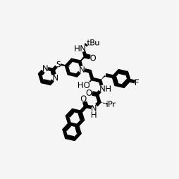 CC(C)[C@H](NC(=O)c1ccc2ccccc2c1)C(=O)N[C@@H](Cc1ccc(F)cc1)[C@H](O)CN1CC[C@@H](Sc2ncccn2)C[C@H]1C(=O)NC(C)(C)C